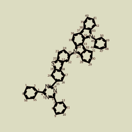 c1ccc(-c2nc(-c3ccccc3)nc(-c3ccc4c(c3)sc3ccc(-n5c6ccccc6c6c5ccc5c7ccccc7n(-c7ccccc7)c56)cc34)n2)cc1